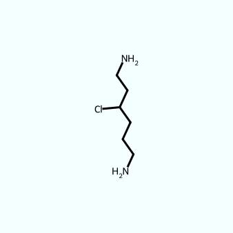 NCCCC(Cl)CCN